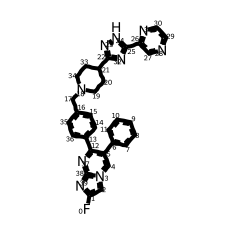 Fc1cn2cc(-c3ccccc3)c(-c3ccc(CN4CCC(c5n[nH]c(-c6cnccn6)n5)CC4)cc3)nc2n1